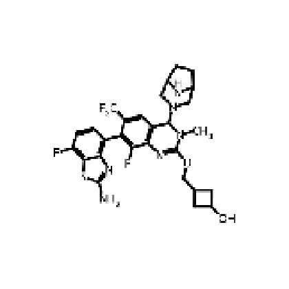 CN1C(OCC2CC(O)C2)=Nc2c(cc(C(F)(F)F)c(-c3ccc(F)c4sc(N)nc34)c2F)C1N1CC2CCC(C1)N2